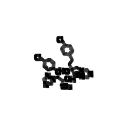 CC(C)(C)C(O)(CCc1ccc(Cl)cc1)Cn1cncn1.CC(C)(C)C(O)C(Oc1ccc(Cl)cc1)n1cncn1